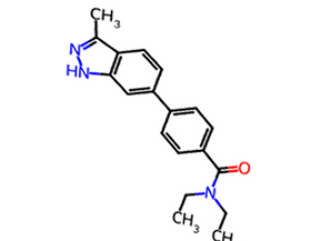 CCN(CC)C(=O)c1ccc(-c2ccc3c(C)n[nH]c3c2)cc1